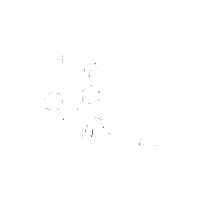 CC(=O)N1c2ccc(/C(C=N)=C/NC3CCN(C)CC3)c(Oc3ccccc3C#N)c2CCC1C